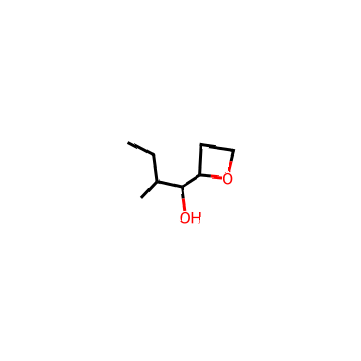 CCC(C)C(O)C1CCO1